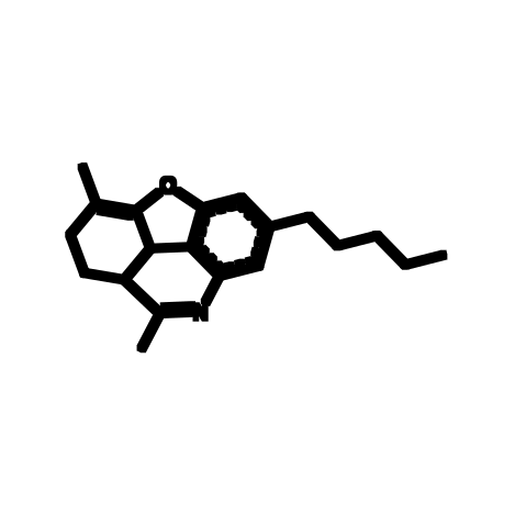 CCCCCc1cc2c3c(c1)OC1=C(C)CCC(C(C)=N2)C13